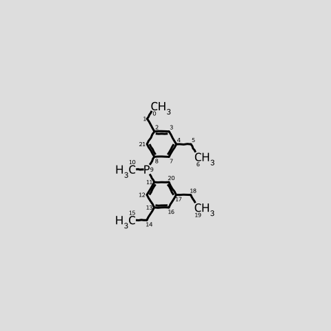 CCc1cc(CC)cc(P(C)c2cc(CC)cc(CC)c2)c1